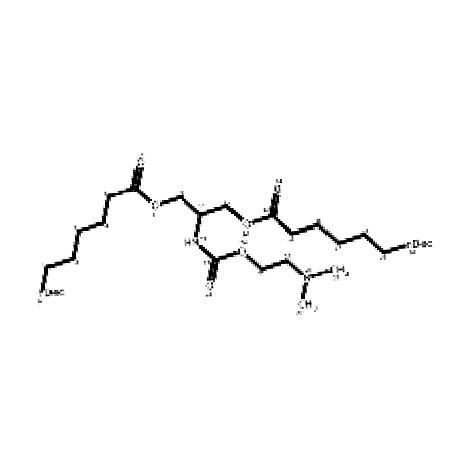 CCCCCCCCCCCCCCCC(=O)OCC(COC(=O)CCCCCCCCCCCCCCC)NC(=O)OCCN(C)C